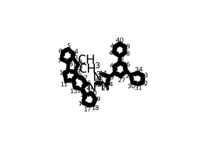 CC1(C)c2ccccc2-c2ccc3cc4c5ccccc5n(-c5ncc(-c6cc(-c7ccccc7)cc(-c7ccccc7)c6)cn5)c4cc3c21